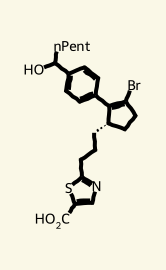 CCCCCC(O)c1ccc(C2=C(Br)CC[C@@H]2CCCc2ncc(C(=O)O)s2)cc1